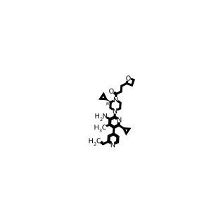 C=Cc1cc(-c2c(C3CC3)nc(N3CCN(C(=O)CCC4CCO4)[C@H](C4CC4)C3)c(N)c2C)ccn1